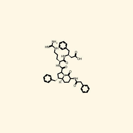 N=C(N)NCCC[C@H](NC(=O)C1C[C@@H](Cc2ccccc2)[C@@H]2CCC(NC(=O)Cc3ccccc3)C(=O)N12)C(=O)N[C@H](CC(=O)O)Cc1ccccc1